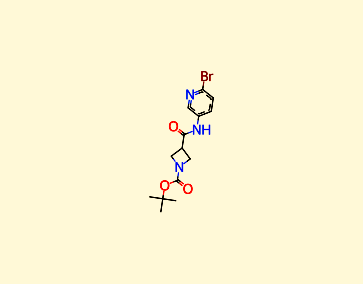 CC(C)(C)OC(=O)N1CC(C(=O)Nc2ccc(Br)nc2)C1